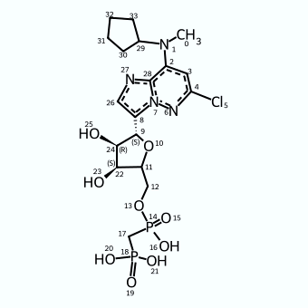 CN(c1cc(Cl)nn2c([C@@H]3OC(COP(=O)(O)CP(=O)(O)O)[C@@H](O)[C@H]3O)cnc12)C1CCCC1